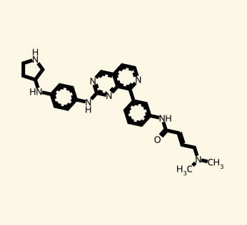 CN(C)CC=CC(=O)Nc1cccc(-c2nccc3cnc(Nc4ccc(NC5CCNC5)cc4)nc23)c1